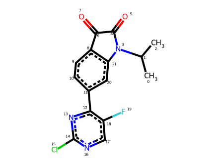 CC(C)N1C(=O)C(=O)c2ccc(-c3nc(Cl)ncc3F)cc21